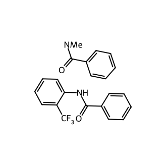 CNC(=O)c1ccccc1.O=C(Nc1ccccc1C(F)(F)F)c1ccccc1